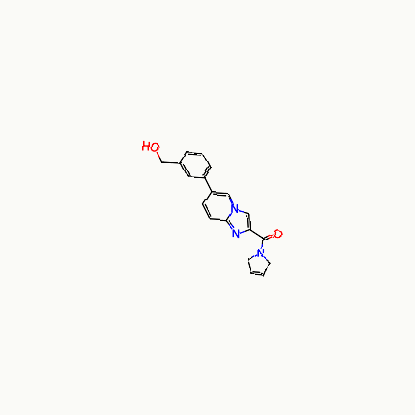 O=C(c1cn2cc(-c3cccc(CO)c3)ccc2n1)N1CC=CC1